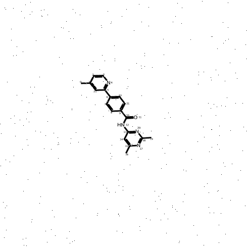 Cc1ccnc(-c2ccc(C(=O)Nc3cc(C)nc(C)n3)cc2)c1